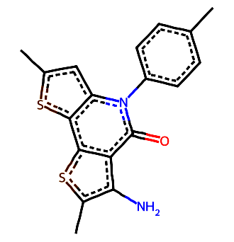 Cc1ccc(-n2c(=O)c3c(N)c(C)sc3c3sc(C)cc32)cc1